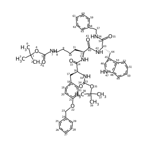 CC(C)(C)OC(=O)NCCCC[C@H](NC(=O)[C@H](Cc1ccc(OCc2ccccc2)cc1)NC(=O)OC(C)(C)C)C(=O)N[C@@H](Cc1c[nH]c2ccccc12)C(=O)NCc1ccccc1